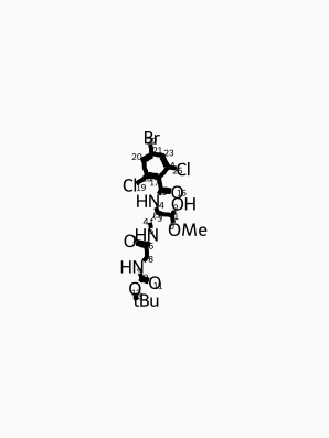 COC(O)[C@H](CNC(=O)CNC(=O)OC(C)(C)C)NC(=O)c1c(Cl)cc(Br)cc1Cl